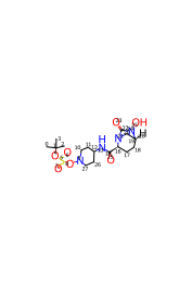 CC(C)(C)OS(=O)(=O)ON1CCC(NC(=O)[C@@H]2CC[C@@H]3CN2C(=O)N3O)CC1